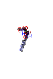 CC/C=C\C/C=C\C/C=C\C/C=C\C/C=C\C/C=C\CCC(=O)NCCN1C(=O)CC(SC[C@H](NC(=O)/C=C/C(=O)OC)C(C)=O)C1=O